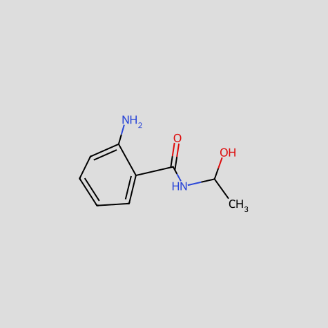 CC(O)NC(=O)c1ccccc1N